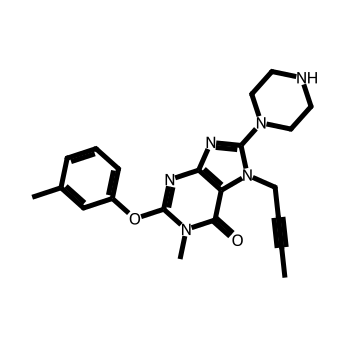 CC#CCn1c(N2CCNCC2)nc2nc(Oc3cccc(C)c3)n(C)c(=O)c21